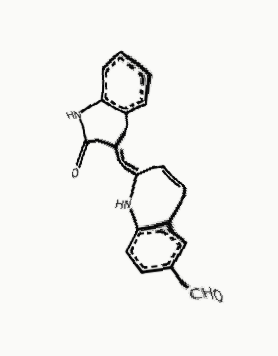 O=Cc1ccc2c(c1)C=CC(=C1C(=O)Nc3ccccc31)N2